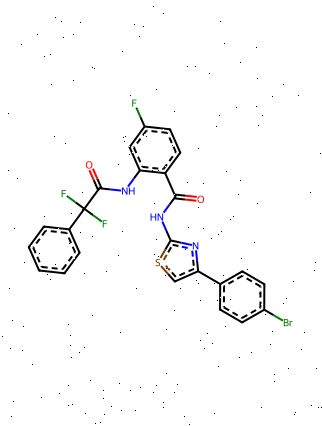 O=C(Nc1nc(-c2ccc(Br)cc2)cs1)c1ccc(F)cc1NC(=O)C(F)(F)c1ccccc1